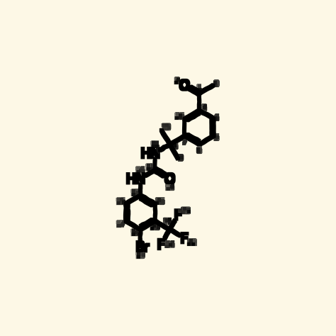 CC(=O)c1cccc(C(C)(C)NC(=O)Nc2ccc(Br)c(C(F)(F)F)c2)c1